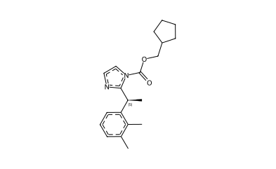 Cc1cccc([C@H](C)c2nccn2C(=O)OCC2CCCC2)c1C